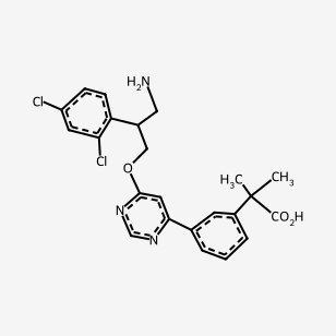 CC(C)(C(=O)O)c1cccc(-c2cc(OCC(CN)c3ccc(Cl)cc3Cl)ncn2)c1